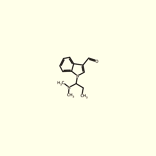 CCC(N(C)C)n1cc(C=O)c2ccccc21